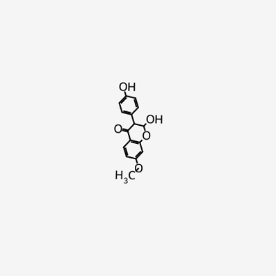 COc1ccc2c(c1)OC(O)C(c1ccc(O)cc1)C2=O